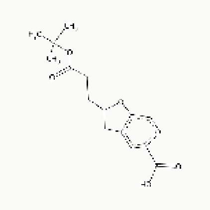 CC(C)(C)OC(=O)CCC1Cc2cc(C(=O)O)ccc2O1